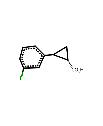 O=C(O)[C@H]1CC1c1cccc(F)c1